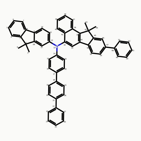 CC1(C)c2ccccc2-c2ccc(N(c3ccc(-c4ccc(-c5ccccc5)cc4)cc3)c3cc4c(c5ccccc35)C(C)(C)c3cc(-c5ccccc5)ccc3-4)cc21